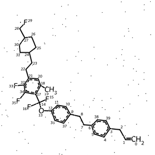 C=CCc1ccc(CCc2ccc(OC(F)(F)c3c(C)cc(CCC4CCC(CF)CC4)c(F)c3F)cc2)cc1